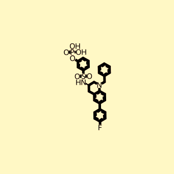 O=P(O)(O)Oc1cccc(S(=O)(=O)N[C@@H]2Cc3cc(-c4ccc(F)cc4)ccc3N(Cc3ccccc3)C2)c1